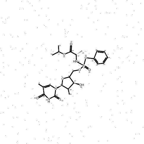 Cc1cn([C@H]2OC(COP(=O)(N[C@@H](C)C(=O)OC(C)C)Oc3ccccc3)[C@@H](O)C2C)c(=S)[nH]c1=O